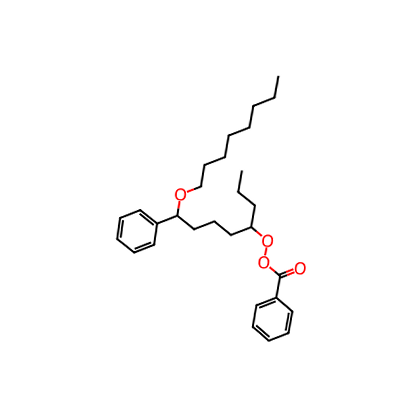 CCCCCCCCOC(CCCC(CCC)OOC(=O)c1ccccc1)c1ccccc1